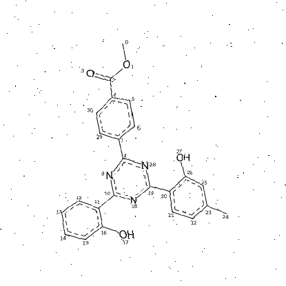 COC(=O)c1ccc(-c2nc(-c3ccccc3O)nc(-c3ccc(C)cc3O)n2)cc1